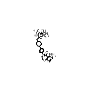 C[C@H](NC(=O)CC1CCC(c2ccc(N3CCOc4ncnc(N)c4C3=O)cc2)CC1)C(C)(C)C